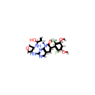 C=CC(O)N[C@H]1COC[C@H]1Nc1ncc2cc(-c3c(F)c(OC)cc(OC)c3Cl)c(=O)n(C)c2n1